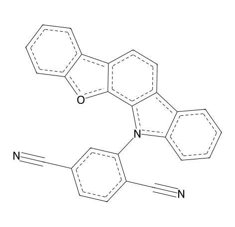 N#Cc1ccc(C#N)c(-n2c3ccccc3c3ccc4c5ccccc5oc4c32)c1